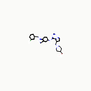 OCC1CCN(Cc2ccn3ncnc(Nc4ccc5c(cnn5Cc5cccc(F)c5)c4)c23)CC1